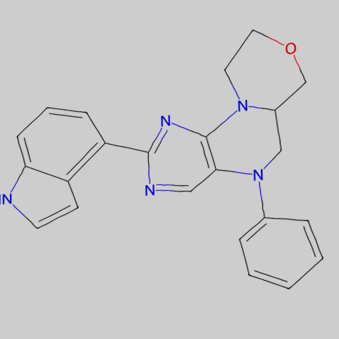 c1ccc(N2CC3COCCN3c3nc(-c4cccc5[nH]ccc45)ncc32)cc1